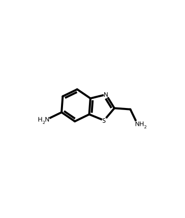 NCc1nc2ccc(N)cc2s1